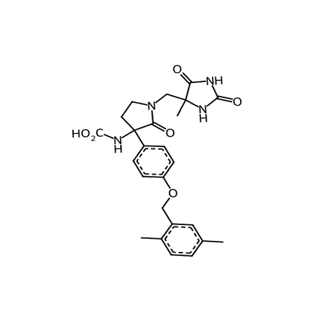 Cc1ccc(C)c(COc2ccc(C3(NC(=O)O)CCN(CC4(C)NC(=O)NC4=O)C3=O)cc2)c1